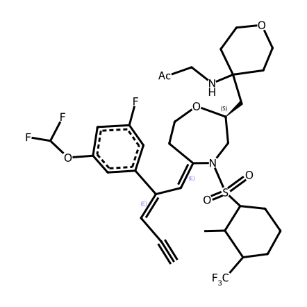 C#C/C=C(\C=C1/CCO[C@@H](CC2(NCC(C)=O)CCOCC2)CN1S(=O)(=O)C1CCCC(C(F)(F)F)C1C)c1cc(F)cc(OC(F)F)c1